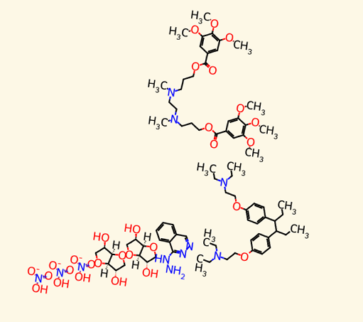 CCC(c1ccc(OCCN(CC)CC)cc1)C(CC)c1ccc(OCCN(CC)CC)cc1.COc1cc(C(=O)OCCCN(C)CCN(C)CCCOC(=O)c2cc(OC)c(OC)c(OC)c2)cc(OC)c1OC.NNc1nncc2ccccc12.O=[N+]([O-])O.O=[N+]([O-])O.O=[N+]([O-])O.O[C@@H]1CO[C@H]2[C@@H]1OC[C@@H]2O.O[C@@H]1CO[C@H]2[C@@H]1OC[C@@H]2O